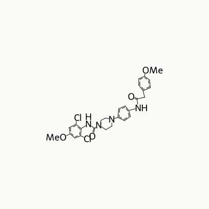 COc1ccc(CC(=O)Nc2ccc(N3CCN(C(=O)Nc4c(Cl)cc(OC)cc4Cl)CC3)cc2)cc1